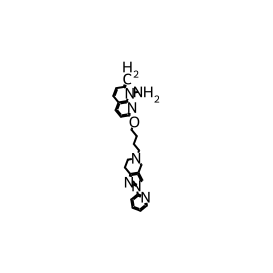 C=C1C=Cc2ccc(OCCCCN3CCc4nn(-c5ccccn5)cc4C3)nc2N1N